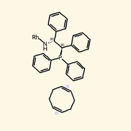 C1=C\CC/C=C\CC/1.[Rh][NH][C@H](c1ccccc1)[C@@H](c1ccccc1)P(c1ccccc1)c1ccccc1